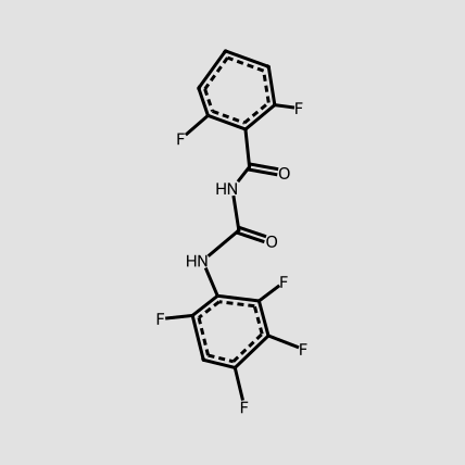 O=C(NC(=O)c1c(F)cccc1F)Nc1c(F)cc(F)c(F)c1F